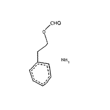 N.O=COCCc1ccccc1